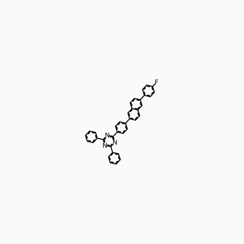 Fc1ccc(-c2ccc3cc(-c4ccc(-c5nc(-c6ccccc6)nc(-c6ccccc6)n5)cc4)ccc3c2)cc1